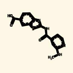 CNc1cc(C(=O)Nc2nc3ccc(C(=O)O)cc3s2)ccn1